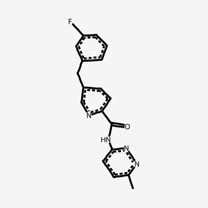 Cc1ccc(NC(=O)c2ccc(Cc3cccc(F)c3)cn2)nn1